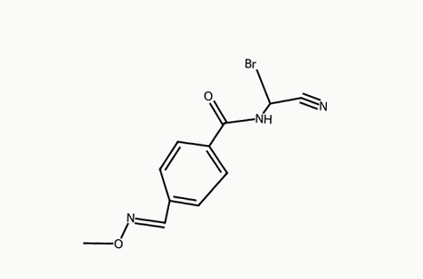 CON=Cc1ccc(C(=O)NC(Br)C#N)cc1